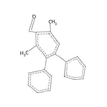 Cc1cc(-c2ccccc2)c(-c2ccccc2)c(C)c1C=O